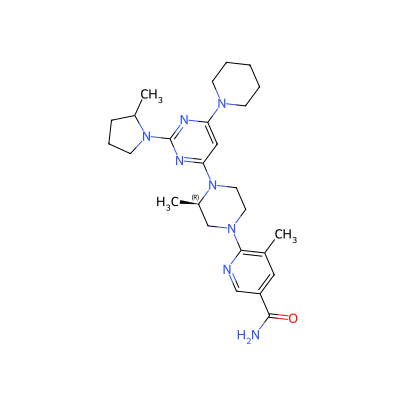 Cc1cc(C(N)=O)cnc1N1CCN(c2cc(N3CCCCC3)nc(N3CCCC3C)n2)[C@H](C)C1